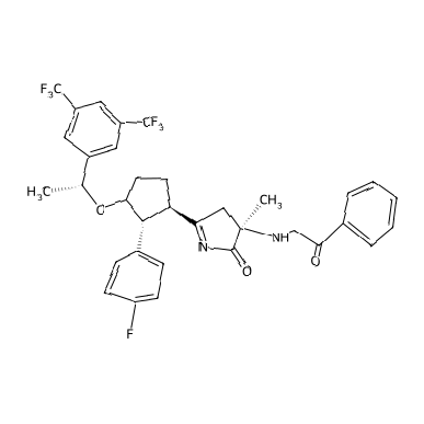 C[C@@H](OC1CC[C@@H](C2=NC(=O)[C@](C)(NCC(=O)c3ccccc3)C2)[C@@H]1c1ccc(F)cc1)c1cc(C(F)(F)F)cc(C(F)(F)F)c1